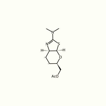 CC(=O)OC[C@H]1[C][C][C@H]2N=C(N(C)C)S[C@H]2O1